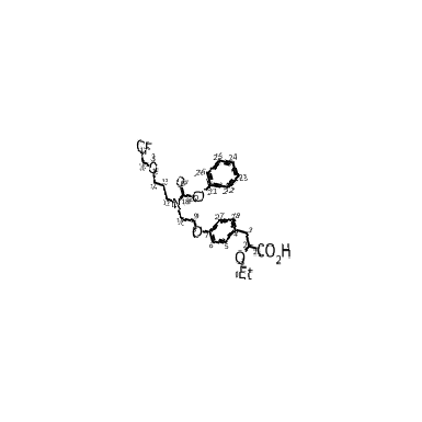 CCOC(Cc1ccc(OCCN(CCCOCC(F)(F)F)C(=O)Oc2ccccc2)cc1)C(=O)O